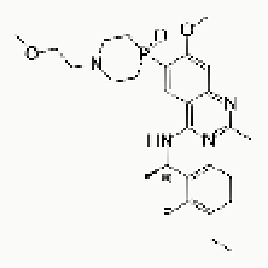 CCc1cccc([C@@H](C)Nc2nc(C)nc3cc(OC)c(P4(=O)CCN(CCOC)CC4)cc23)c1F